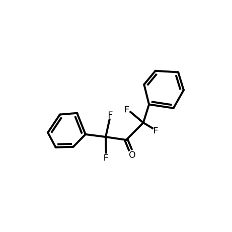 O=C(C(F)(F)c1ccccc1)C(F)(F)c1ccccc1